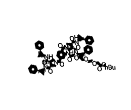 CCCCOC(=O)COCCOCCOCC(=O)Nc1cc(C(=O)N2C[C@@H](C(=O)N[C@H]3C[C@@H]3c3ccccc3)[C@H](C(=O)N[C@H]3C[C@@H]3c3ccccc3)C2)ccc1C(=O)N1C[C@@H](C(=O)N[C@H]2C[C@@H]2c2ccccc2)[C@H](C(=O)N[C@H]2C[C@@H]2c2ccccc2)C1